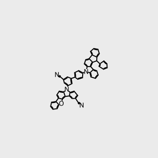 N#Cc1cc(-c2ccc(-n3c4ccccc4c4c5c(ccc43)-c3ccccc3C5c3ccccc3)cc2)cc(-n2c3ccc(C#N)cc3c3c4oc5ccccc5c4ccc32)c1